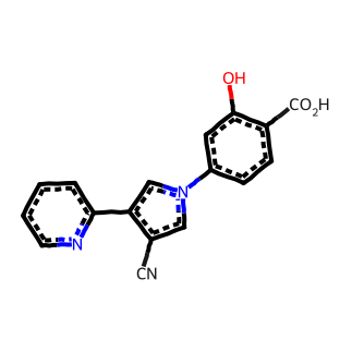 N#Cc1cn(-c2ccc(C(=O)O)c(O)c2)cc1-c1ccccn1